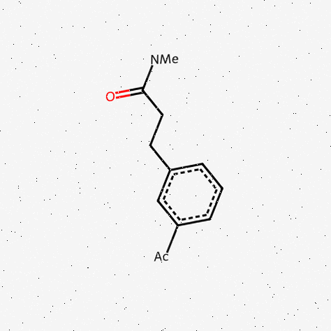 CNC(=O)CCc1cccc(C(C)=O)c1